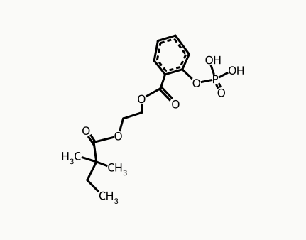 CCC(C)(C)C(=O)OCCOC(=O)c1ccccc1OP(=O)(O)O